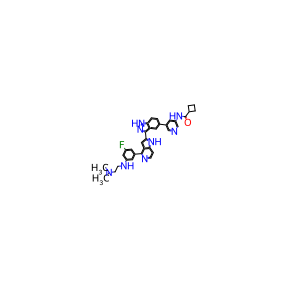 CN(C)CCNc1cc(F)cc(-c2nccc3[nH]c(-c4n[nH]c5ccc(-c6cncc(NC(=O)C7CCC7)c6)cc45)cc23)c1